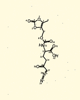 Cc1oc(=O)oc1COC(=O)NC(CCC(=O)C=[N+]=[N-])C(=O)O